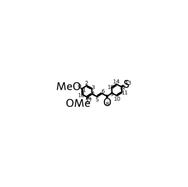 COc1ccc(/C=C/C(=O)C2C=CC(=S)C=C2)c(OC)c1